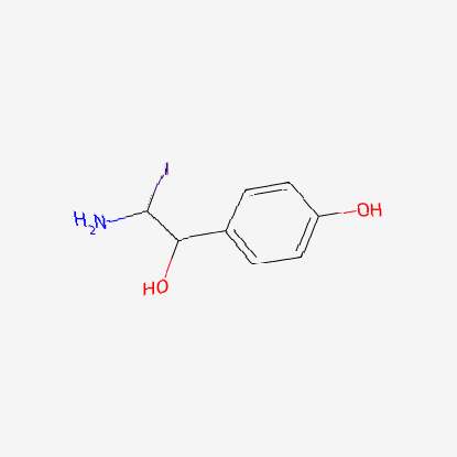 NC(I)C(O)c1ccc(O)cc1